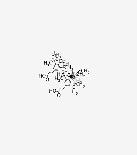 C=C.C=C.CC(C)(C)c1cc(CCC(=O)O)cc(C(C)(C)C)c1O.CC(C)(C)c1cc(CCC(=O)O)cc(C(C)(C)C)c1O